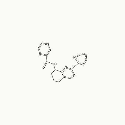 O=C(NC1CCCc2ccc(-c3ccccn3)nc21)c1cnccn1